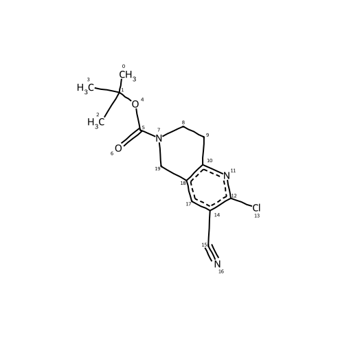 CC(C)(C)OC(=O)N1CCc2nc(Cl)c(C#N)cc2C1